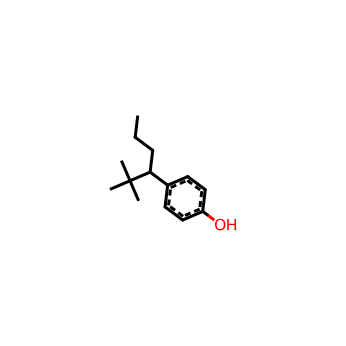 CCCC(c1ccc(O)cc1)C(C)(C)C